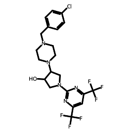 OC1CN(c2nc(C(F)(F)F)cc(C(F)(F)F)n2)CC1N1CCN(Cc2ccc(Cl)cc2)CC1